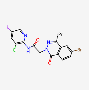 CC(C)c1nn(CC(=O)Nc2ncc(I)cc2Cl)c(=O)c2ccc(Br)cc12